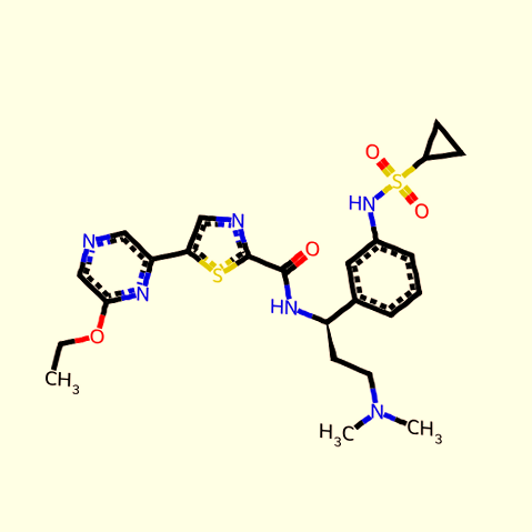 CCOc1cncc(-c2cnc(C(=O)N[C@H](CCN(C)C)c3cccc(NS(=O)(=O)C4CC4)c3)s2)n1